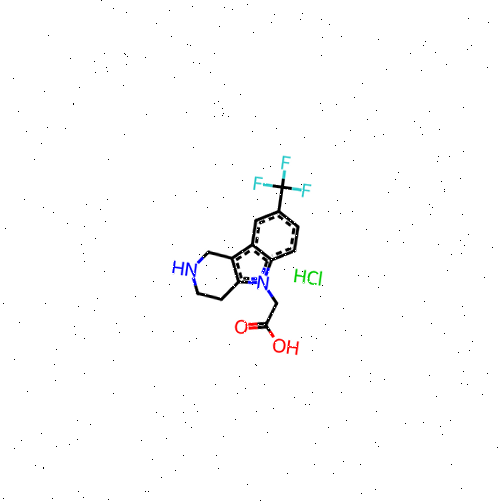 Cl.O=C(O)Cn1c2c(c3cc(C(F)(F)F)ccc31)CNCC2